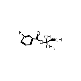 C#CC(C)(C)OC(=O)c1cccc(F)c1